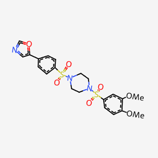 COc1ccc(S(=O)(=O)N2CCN(S(=O)(=O)c3ccc(-c4cnco4)cc3)CC2)cc1OC